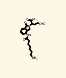 NCCCCCCC(=O)Nc1cccc2c1CN(C(CCC=O)C(N)=O)C2=O